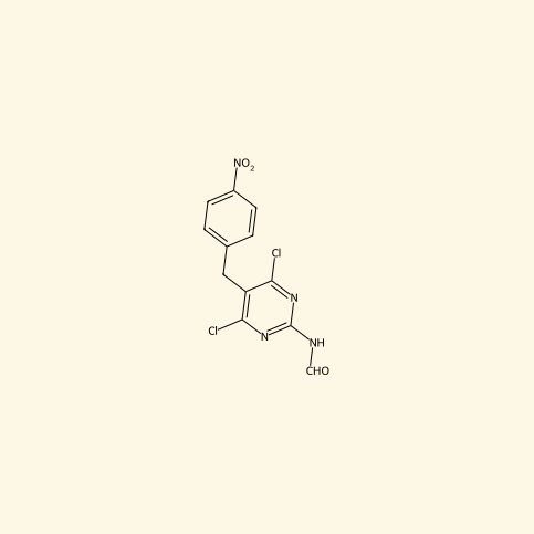 O=CNc1nc(Cl)c(Cc2ccc([N+](=O)[O-])cc2)c(Cl)n1